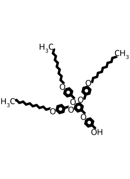 CCCCCCCCCCCCOc1ccc(COc2cc(COc3ccc(CO)cc3)cc(OCc3ccc(OCCCCCCCCCCCC)cc3)c2OCc2ccc(OCCCCCCCCCCCC)cc2)cc1